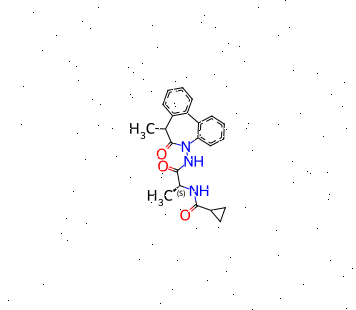 CC1C(=O)N(NC(=O)[C@H](C)NC(=O)C2CC2)c2ccccc2-c2ccccc21